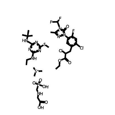 CCNc1nc(NC(C)(C)C)nc(SC)n1.CCOC(=O)C(Cl)Cc1cc(-n2nc(C)n(C(F)F)c2=O)c(F)cc1Cl.C[S+](C)C.O=C(O)CNCP(=O)([O-])O